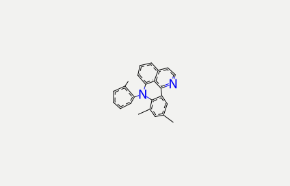 Cc1cc(C)c2c(c1)-c1nccc3cccc(c13)N2c1ccccc1C